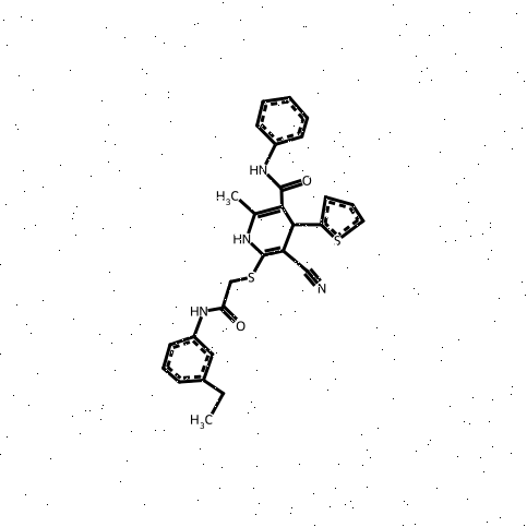 CCc1cccc(NC(=O)CSC2=C(C#N)C(c3cccs3)C(C(=O)Nc3ccccc3)=C(C)N2)c1